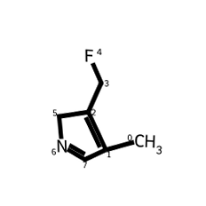 CC1=C(CF)CN=C1